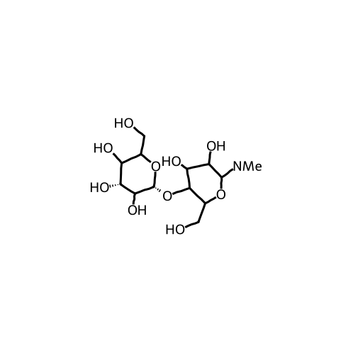 CNC1OC(CO)C(O[C@H]2OC(CO)C(O)[C@@H](O)C2O)C(O)C1O